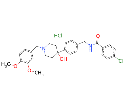 COc1ccc(CN2CCC(O)(c3ccc(CNC(=O)c4ccc(Cl)cc4)cc3)CC2)cc1OC.Cl